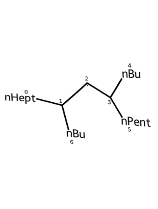 CCCCCCCC([CH]C(CCCC)CCCCC)CCCC